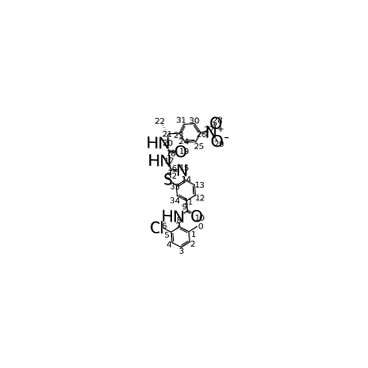 Cc1cccc(Cl)c1NC(=O)c1ccc2nc(NC(=O)N[C@H](C)c3ccc([N+](=O)[O-])cc3)sc2c1